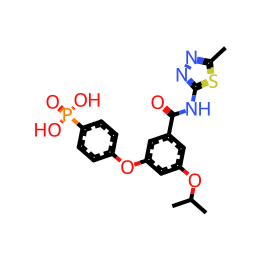 Cc1nnc(NC(=O)c2cc(Oc3ccc(P(=O)(O)O)cc3)cc(OC(C)C)c2)s1